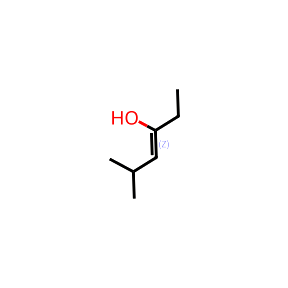 CC/C(O)=C/C(C)C